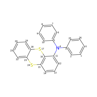 c1ccc(N(c2ccccc2)c2cccc3c2Sc2ccccc2S3)cc1